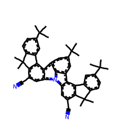 CC(C)(C)c1ccc2c(c1)-c1c(c(C#N)cc3c1c1cc(C(C)(C)C)cc4c5c6c(c(C#N)cc5n3c14)C(C)(C)c1ccc(C(C)(C)C)cc1-6)C2(C)C